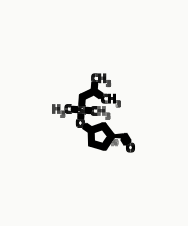 CC(C)C[Si](C)(C)OC1CC[C@H](C=O)C1